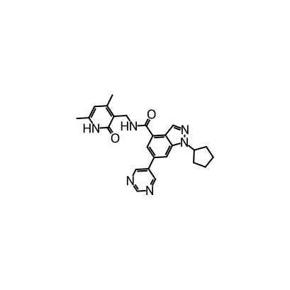 Cc1cc(C)c(CNC(=O)c2cc(-c3cncnc3)cc3c2cnn3C2CCCC2)c(=O)[nH]1